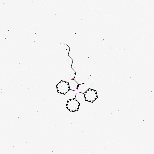 CCCCCCCCCCCCCCCC(=O)C(C(=O)O)=P(c1ccccc1)(c1ccccc1)c1ccccc1